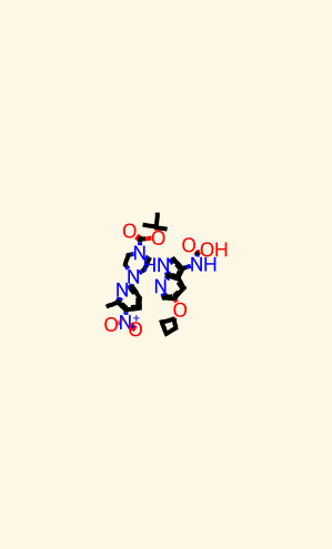 Cc1nc(N2CCN(C(=O)OC(C)(C)C)CC2)ccc1[N+](=O)[O-].O=C(O)Nc1c[nH]c2ncc(OC3CCC3)cc12